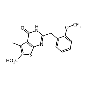 Cc1c(C(=O)O)sc2nc(Cc3ccccc3OC(F)(F)F)[nH]c(=O)c12